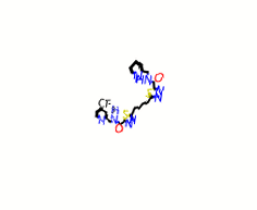 O=C(NCc1ccccn1)c1nnc(CCCCc2nnc(C(=O)NCc3cc(C(F)(F)F)ccn3)s2)s1